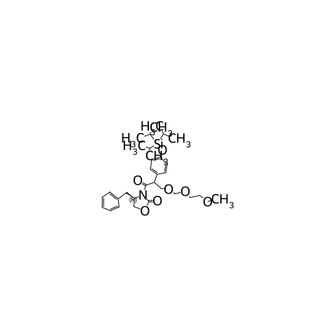 COCCOCOCC(C(=O)N1C(=O)OC[C@H]1Cc1ccccc1)c1ccc(O[Si](C(C)C)(C(C)C)C(C)C)cc1